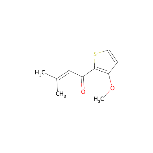 COc1ccsc1C(=O)C=C(C)C